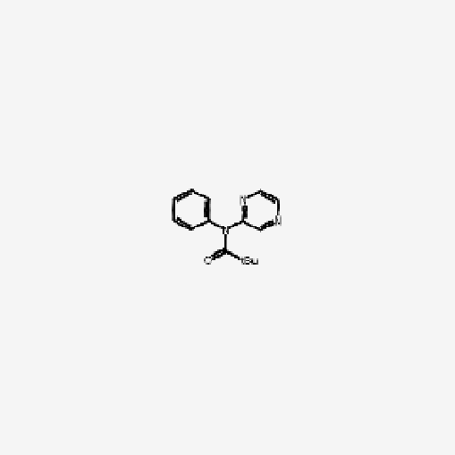 CC(C)(C)C(=O)N(c1ccccc1)c1cnccn1